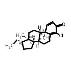 CC[C@H]1CC[C@H]2[C@@H]3CCC4=C(Cl)C(=O)C=C[C@]4(C)[C@H]3CC[C@]12C